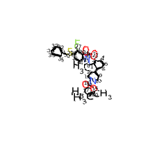 CC(c1ccccc1C1=CCN(C(=O)OC(C)(C)C)CC1)n1c(=O)oc2c(F)c(SCc3ccccc3)ccc21